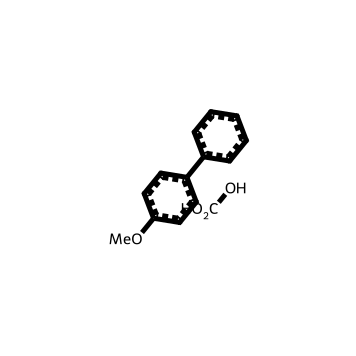 COc1ccc(-c2ccccc2)cc1.O=C(O)O